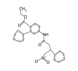 CCOC(=O)c1ccc(NC(=O)CC(C[N+](=O)[O-])c2ccccc2)cc1-c1ccccc1